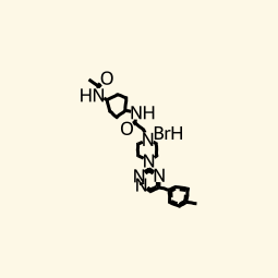 Br.CC(=O)NC1CCC(NC(=O)CN2CCN(c3nncc(-c4ccc(C)cc4)n3)CC2)CC1